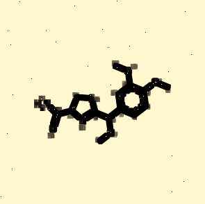 COc1ccc(C(OC)C2=NC(C(N)=O)CS2)cc1OC